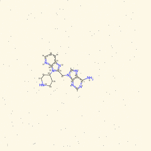 Nc1ncnc2c1ncn2Cc1nc2cccnc2n1C1CCNCC1